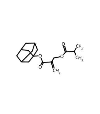 C=C(COC(=O)C(C)C(F)(F)F)C(=O)OC12CC3CC(CC(C3)C1)C2